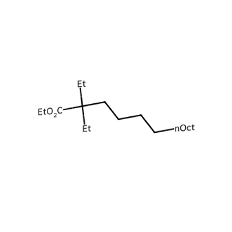 CCCCCCCCCCCCC(CC)(CC)C(=O)OCC